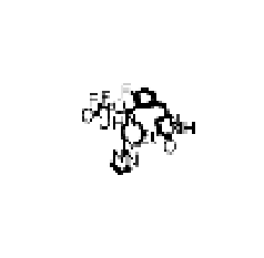 CCc1cc(Cc2ccc(F)c(C(=O)N3CCCN(c4ncccn4)CC3)c2)n[nH]c1=O.O=C(O)C(F)(F)F